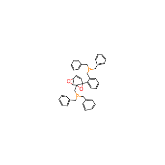 C1=CC2(c3ccccc3CP(Cc3ccccc3)Cc3ccccc3)OC2(CP(Cc2ccccc2)Cc2ccccc2)C2OC12